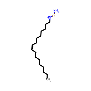 CCCCCCCC/C=C\CCCCCCCNSN